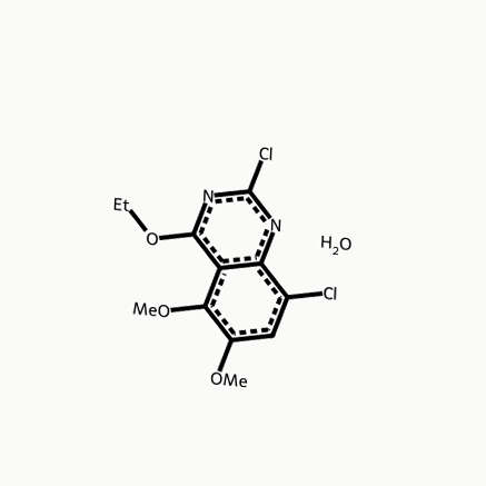 CCOc1nc(Cl)nc2c(Cl)cc(OC)c(OC)c12.O